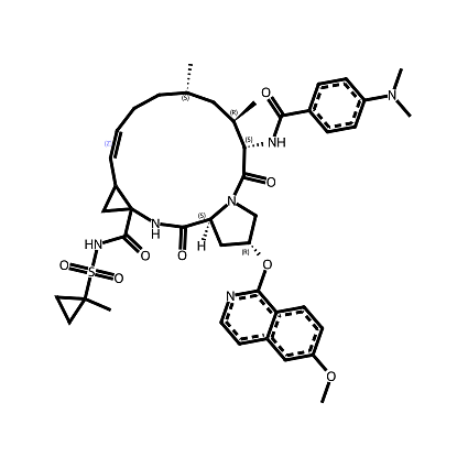 COc1ccc2c(O[C@@H]3C[C@H]4C(=O)NC5(C(=O)NS(=O)(=O)C6(C)CC6)CC5/C=C\CC[C@H](C)C[C@@H](C)[C@H](NC(=O)c5ccc(N(C)C)cc5)C(=O)N4C3)nccc2c1